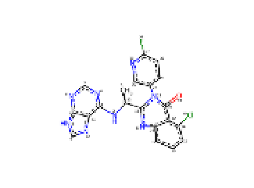 C[C@H](Nc1ncnc2[nH]cnc12)c1nc2cccc(Cl)c2c(=O)n1-c1ccc(F)nc1